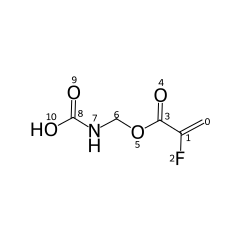 C=C(F)C(=O)OCNC(=O)O